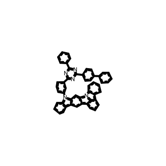 c1ccc(-c2ccc(-c3nc(-c4ccccc4)nc(-c4cccc(-n5c6ccccc6c6cc7c8cccc9c%10ccccc%10n(c7cc65)c98)c4)n3)cc2)cc1